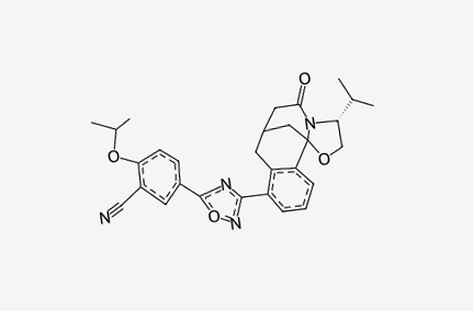 CC(C)Oc1ccc(-c2nc(-c3cccc4c3CC3CC(=O)N5[C@H](C(C)C)COC45C3)no2)cc1C#N